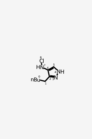 CCCCCc1n[nH]cc1NCl